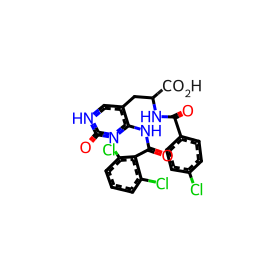 O=C(NC(Cc1c[nH]c(=O)nc1NC(=O)c1c(Cl)cccc1Cl)C(=O)O)c1ccc(Cl)cc1